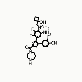 N#Cc1ccc(-c2cc(C(=O)N3CCCNCC3)sc2-c2cc(N)c(N(N)CC3(O)CCC3)c(F)c2F)cc1F